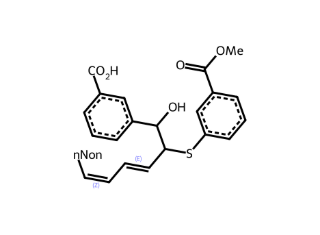 CCCCCCCCC/C=C\C=C\C(Sc1cccc(C(=O)OC)c1)C(O)c1cccc(C(=O)O)c1